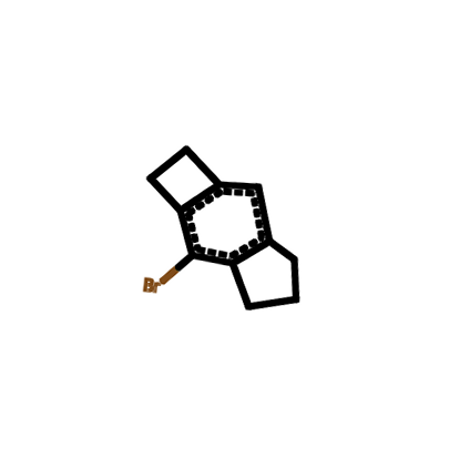 Brc1c2c(cc3c1CC3)CCC2